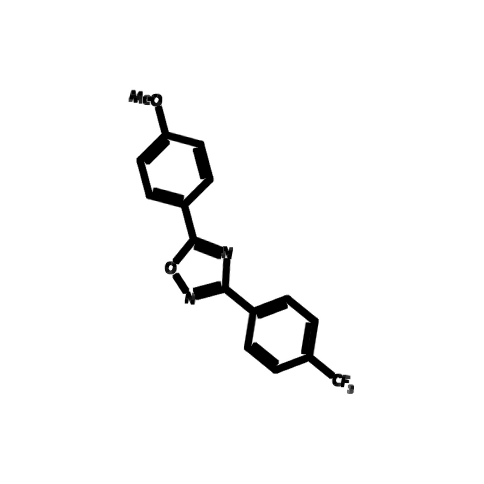 COc1ccc(-c2nc(-c3ccc(C(F)(F)F)cc3)no2)cc1